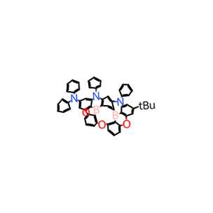 CC(C)(C)c1cc2c3c(c1)N(c1ccccc1)c1cc4c5cc1B3c1c(cccc1O2)Oc1cccc2c1B5c1c(cc(N(c3ccccc3)c3ccccc3)cc1N4c1ccccc1)O2